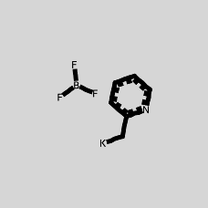 FB(F)F.[K][CH2]c1ccccn1